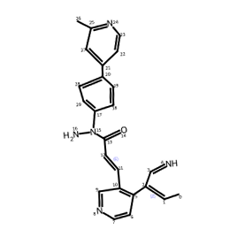 C/C=C(\C=N)c1ccncc1/C=C/C(=O)N(N)c1ccc(-c2ccnc(C)c2)cc1